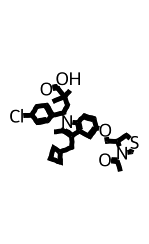 CC(=O)N1CSCC1COc1ccc2c(c1)c(CC1CCC1)c(C)n2C(CC(C)(C)C(=O)O)C1=CCC(Cl)C=C1